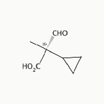 C[C@](C=O)(C(=O)O)C1CC1